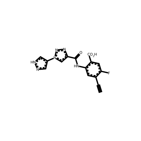 C#Cc1cc(NC(=O)c2cn(-c3cn[nH]c3)nn2)c(C(=O)O)cc1F